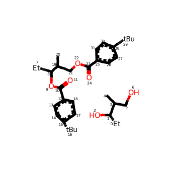 CCC(O)C(C)CO.CCC(OC(=O)c1ccc(C(C)(C)C)cc1)C(C)COC(=O)c1ccc(C(C)(C)C)cc1